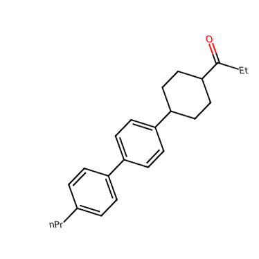 CCCc1ccc(-c2ccc(C3CCC(C(=O)CC)CC3)cc2)cc1